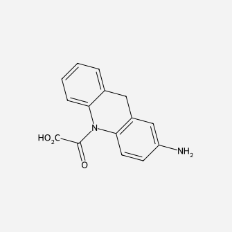 Nc1ccc2c(c1)Cc1ccccc1N2C(=O)C(=O)O